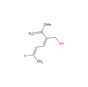 C=C(OC)/C(=C\C=C(/C)F)CO